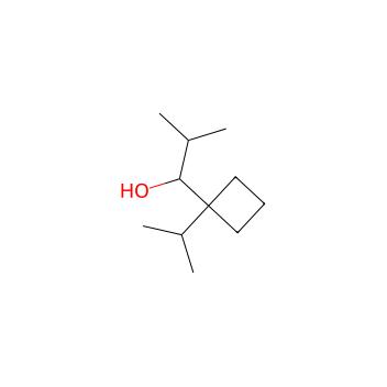 CC(C)C(O)C1(C(C)C)CCC1